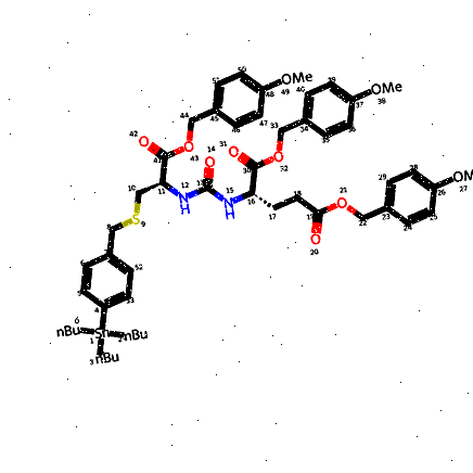 CCC[CH2][Sn]([CH2]CCC)([CH2]CCC)[c]1ccc(CSC[C@H](NC(=O)N[C@@H](CCC(=O)OCc2ccc(OC)cc2)C(=O)OCc2ccc(OC)cc2)C(=O)OCc2ccc(OC)cc2)cc1